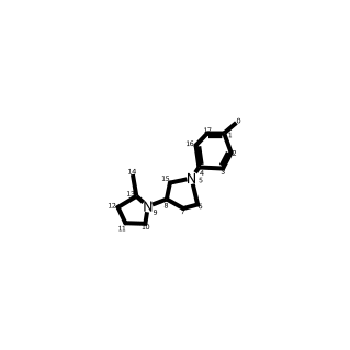 Cc1ccc(N2CCC(N3CCCC3C)C2)cc1